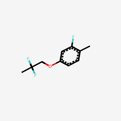 Cc1ccc(OCC(C)(F)F)cc1F